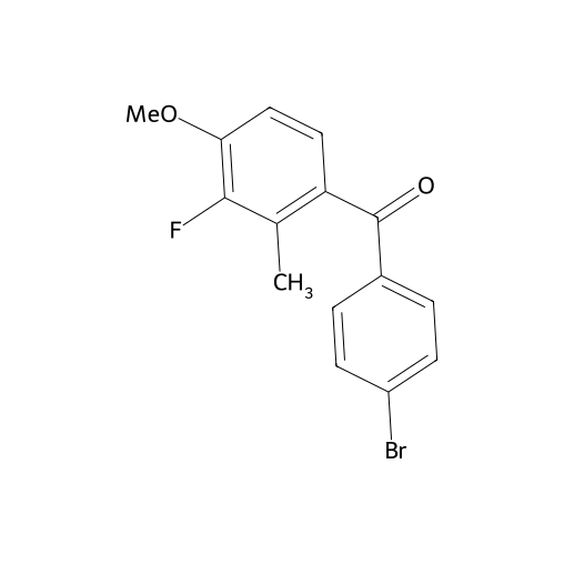 COc1ccc(C(=O)c2ccc(Br)cc2)c(C)c1F